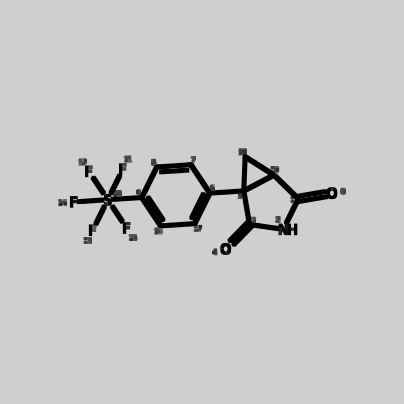 O=C1NC(=O)C2(c3ccc(S(F)(F)(F)(F)F)cc3)CC12